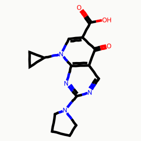 O=C(O)c1cn(C2CC2)c2nc(N3CCCC3)ncc2c1=O